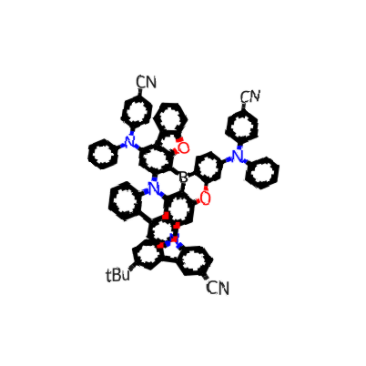 CC(C)(C)c1ccc2c(c1)c1cc(C#N)ccc1n2-c1cc2c3c(c1)N(c1ccccc1-c1ccccc1)c1cc(N(c4ccccc4)c4ccc(C#N)cc4)c4c(oc5ccccc54)c1B3c1ccc(N(c3ccccc3)c3ccc(C#N)cc3)cc1O2